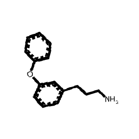 NCCCc1cccc(Oc2ccccc2)c1